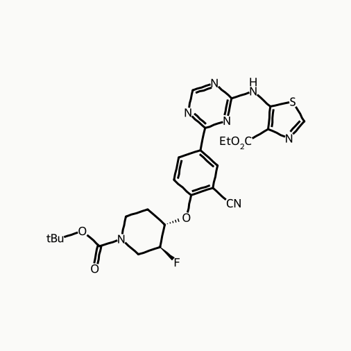 CCOC(=O)c1ncsc1Nc1ncnc(-c2ccc(O[C@H]3CCN(C(=O)OC(C)(C)C)C[C@@H]3F)c(C#N)c2)n1